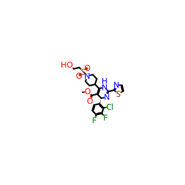 COC(=O)C1=C(C2CCN(S(=O)(=O)CCO)CC2)NC(c2nccs2)=N[C@@H]1c1ccc(F)c(F)c1Cl